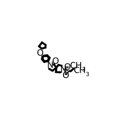 CC(C)CS(=O)(=O)N1CCC2(CCN(c3ccc(OC4CCCC4)cc3)C2=O)CC1